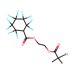 CCC(C)(C)C(=O)OCCOC(=O)C1C(F)(F)C(F)(F)C(F)(F)C(F)(F)C1(F)F